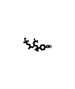 CC(CCC(C)(C)F)C[C@@H](C[C@@H](C)I)CC1(C2CCC(O)CC2)CC1